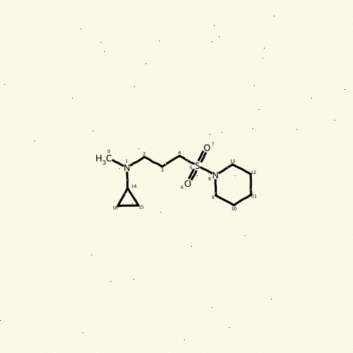 CN(CCCS(=O)(=O)N1CC[CH]CC1)C1CC1